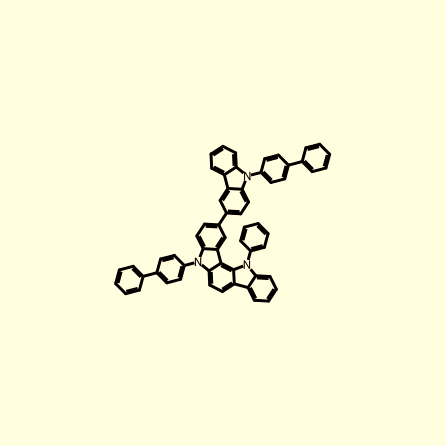 c1ccc(-c2ccc(-n3c4ccccc4c4cc(-c5ccc6c(c5)c5c(ccc7c8ccccc8n(-c8ccccc8)c75)n6-c5ccc(-c6ccccc6)cc5)ccc43)cc2)cc1